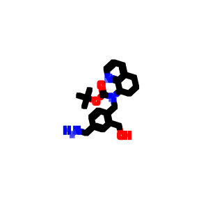 CC(C)(C)OC(=O)N(Cc1ccc(CN)cc1CO)C1CCCc2cccnc21